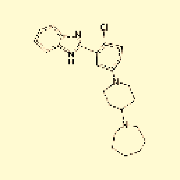 Clc1ccc(N2CCC(N3CCCCCC3)CC2)cc1-c1nc2ccccc2[nH]1